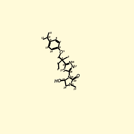 CCC(C)(COc1ccc(C(C)C)cc1)c1nnc(N2C(=O)N(C)CC2O)s1